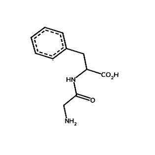 NCC(=O)NC(Cc1[c]cccc1)C(=O)O